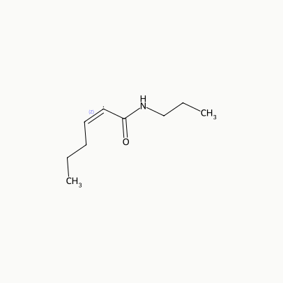 CCC/C=[C]\C(=O)NCCC